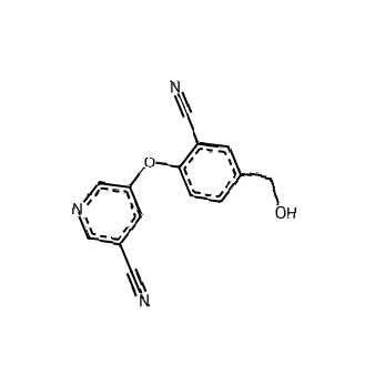 N#Cc1cncc(Oc2ccc(CO)cc2C#N)c1